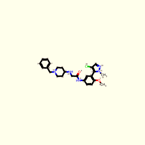 COc1ccc(NC(=O)CNC2CCN(Cc3ccccc3)CC2)cc1-c1c(Cl)cnn1C